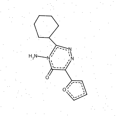 Nn1c(C2CCCCC2)nnc(-c2ccco2)c1=O